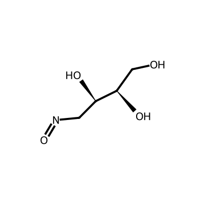 O=NC[C@@H](O)[C@H](O)CO